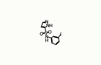 O=S(=O)(Nc1cccc(I)c1)c1ccn[nH]1